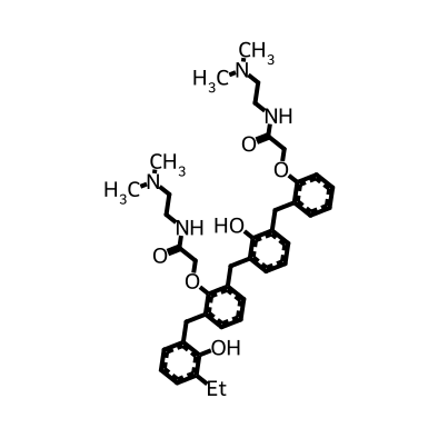 CCc1cccc(Cc2cccc(Cc3cccc(Cc4ccccc4OCC(=O)NCCN(C)C)c3O)c2OCC(=O)NCCN(C)C)c1O